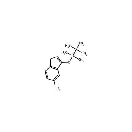 Cc1ccc2c(c1)C(O[Si](C)(C)C(C)(C)C)=CC2